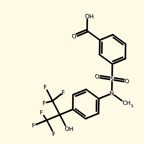 CN(c1ccc(C(O)(C(F)(F)F)C(F)(F)F)cc1)S(=O)(=O)c1cccc(C(=O)O)c1